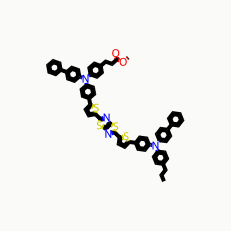 CCCc1ccc(N(c2ccc(-c3ccccc3)cc2)c2ccc(-c3ccc(-c4nc5sc(-c6ccc(-c7ccc(N(c8ccc(CCC(=O)OC)cc8)c8ccc(-c9ccccc9)cc8)cc7)s6)nc5s4)s3)cc2)cc1